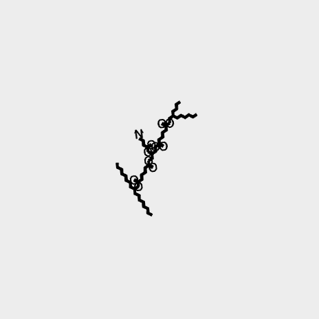 CCCCCCCCC(CCCCCCCC)OC(=O)CCCCC(=O)OCC(COC(=O)CCCCC(=O)OCC(CCCC)CCCCCC)OC(=O)CCCN(C)C